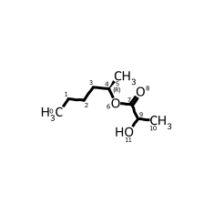 CCCC[C@@H](C)OC(=O)C(C)O